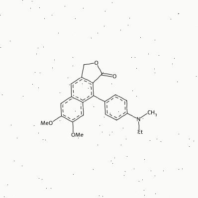 CCN(C)c1ccc(-c2c3c(cc4cc(OC)c(OC)cc24)COC3=O)cc1